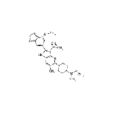 CCN(C)C1CCC(c2nc3c(C(C)C)c(-c4cc(OC)c5ncnn5c4)[nH]c3cc2C)CC1